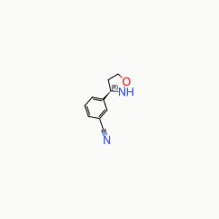 N#Cc1cccc([C@H]2CCON2)c1